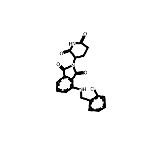 O=C1CCC(N2C(=O)c3cccc(NCc4ccccc4Cl)c3C2=O)C(=O)N1